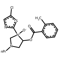 CCCN1CC(OC(=O)c2ccccc2C)[N+]([O-])(c2ncc(Cl)s2)C1